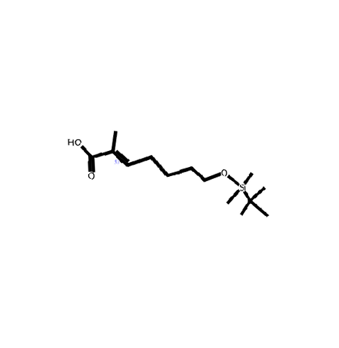 C/C(=C\CCCCO[Si](C)(C)C(C)(C)C)C(=O)O